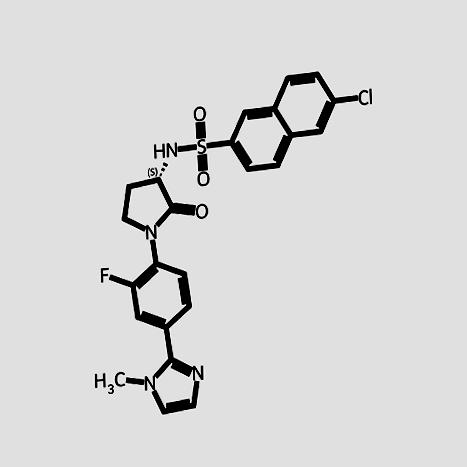 Cn1ccnc1-c1ccc(N2CC[C@H](NS(=O)(=O)c3ccc4cc(Cl)ccc4c3)C2=O)c(F)c1